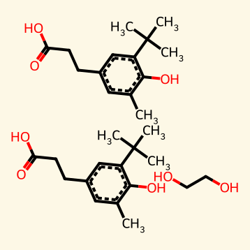 Cc1cc(CCC(=O)O)cc(C(C)(C)C)c1O.Cc1cc(CCC(=O)O)cc(C(C)(C)C)c1O.OCCO